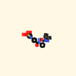 CC(C)C[C@@H](C#N)NC(=O)[C@@H]1CCCC[C@@H]1NC(=O)c1ccc(N2CCS(O)(O)CC2)cc1